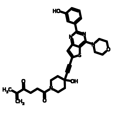 C=C(C)C(=O)CCC(=O)N1CCC(O)(C#Cc2cc3nc(-c4cccc(O)c4)nc(N4CCOCC4)c3s2)CC1